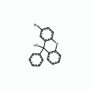 OC1(c2ccccc2)c2ccccc2Oc2ccc(Br)cc21